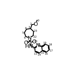 COCC1CCCN(S(=O)(=O)Nc2ccc3ccccc3n2)CC1